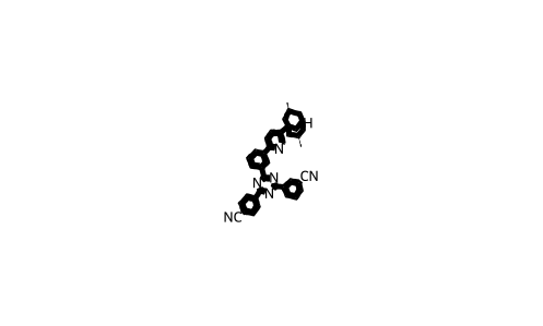 C[C@@H]1C[C@@H]2C[C@H](C)CC(c3ccc(-c4cccc(-c5nc(-c6ccc(C#N)cc6)nc(-c6cccc(C#N)c6)n5)c4)nc3)(C1)C2